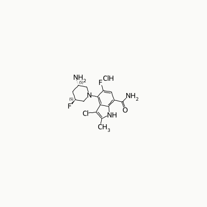 Cc1[nH]c2c(C(N)=O)cc(F)c(N3C[C@@H](N)C[C@H](F)C3)c2c1Cl.Cl